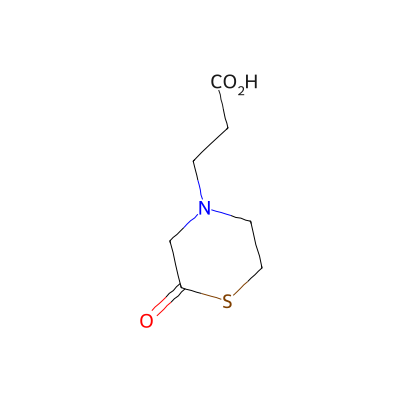 O=C(O)CCN1CCSC(=O)C1